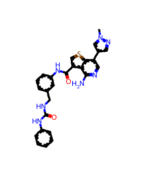 Cn1cc(-c2cnc(N)c3c(C(=O)Nc4cccc(CNC(=O)Nc5ccccc5)c4)csc23)cn1